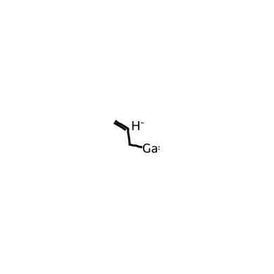 C=C[CH2][Ga].[H-]